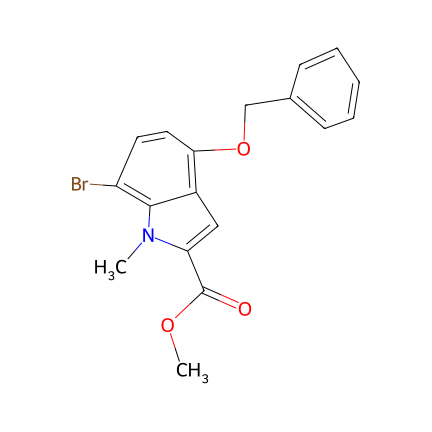 COC(=O)c1cc2c(OCc3ccccc3)ccc(Br)c2n1C